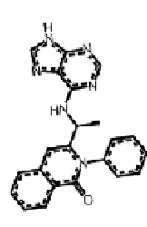 C[C@H](Nc1ncnc2[nH]cnc12)c1cc2ccccc2c(=O)n1-c1ccccc1